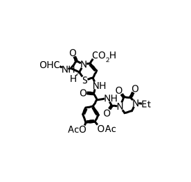 CCN1CCN(C(=O)NC(C(=O)NC2C=C(C(=O)O)N3C(=O)[C@H](NC=O)[C@@H]3S2)c2ccc(OC(C)=O)c(OC(C)=O)c2)C(=O)C1=O